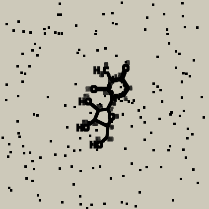 Cn1c(=O)ccn(C2OC(CO)C(O)C2O)c1=O